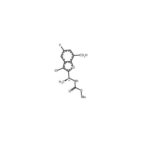 C[C@H](NC(=O)OC(C)(C)C)c1oc2c(C(=O)O)cc(F)cc2c1Cl